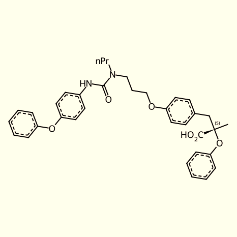 CCCN(CCCOc1ccc(C[C@](C)(Oc2ccccc2)C(=O)O)cc1)C(=O)Nc1ccc(Oc2ccccc2)cc1